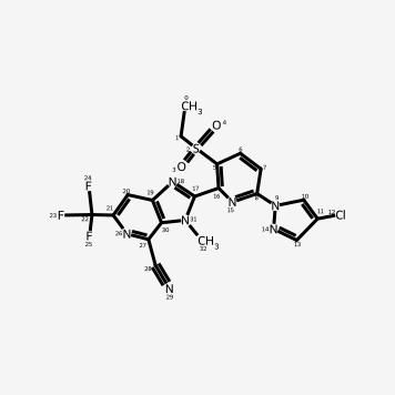 CCS(=O)(=O)c1ccc(-n2cc(Cl)cn2)nc1-c1nc2cc(C(F)(F)F)nc(C#N)c2n1C